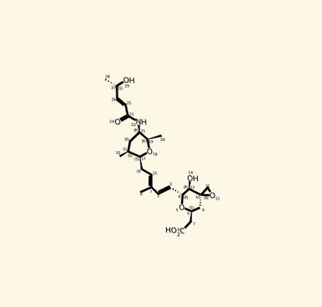 CC(C=C[C@H]1O[C@H](CC(=O)O)C[C@@]2(CO2)[C@@H]1O)=CC[C@@H]1O[C@H](C)[C@H](NC(=O)C=C[C@H](C)O)C[C@@H]1C